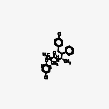 C[C@H](NC(=O)C(C)(C)Oc1ncc(Cl)cn1)[C@@H](Cc1ccc(Cl)cc1)c1ccccc1